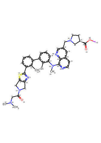 CCc1c(-c2cccc(-c3nc4c(s3)CN(C(=O)CN(C)CC)C4)c2C)cccc1N(C)c1nccc2cc(CN3CC[C@@H](C(=O)OI)C3)cnc12